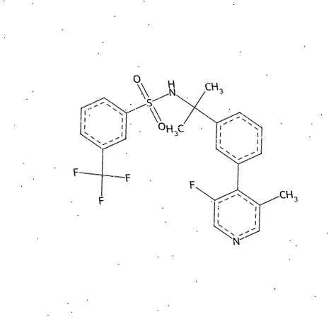 Cc1cncc(F)c1-c1cccc(C(C)(C)NS(=O)(=O)c2cccc(C(F)(F)F)c2)c1